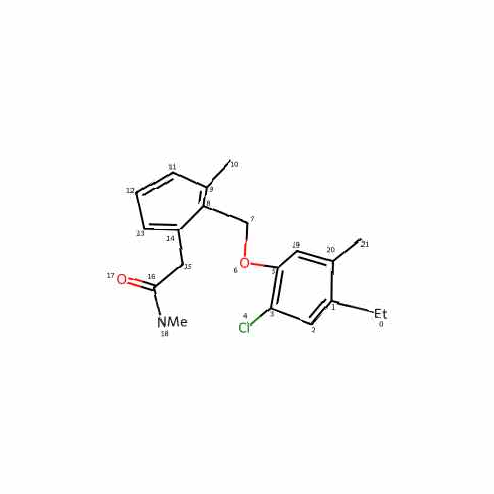 CCc1cc(Cl)c(OCc2c(C)cccc2CC(=O)NC)cc1C